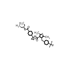 CCN(CC)OC(=O)c1ccc(C2(NC(=O)c3c(C)sc(C)c3Cc3ccc(C(F)(F)F)cc3)CC2)cc1